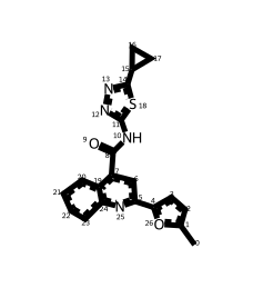 Cc1ccc(-c2cc(C(=O)Nc3nnc(C4CC4)s3)c3ccccc3n2)o1